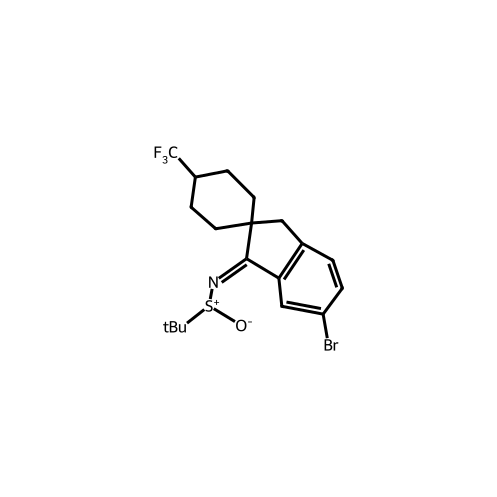 CC(C)(C)[S+]([O-])N=C1c2cc(Br)ccc2CC12CCC(C(F)(F)F)CC2